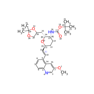 COc1cnc2cccc(/C=C/[C@@H]3CC[C@@H](NC(=O)OC(C)(C)C)[C@@H](CC4COC(C)(C)O4)O3)c2c1